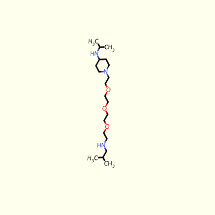 CC(C)CNCCOCCOCCOCCN1CCC(NC(C)C)CC1